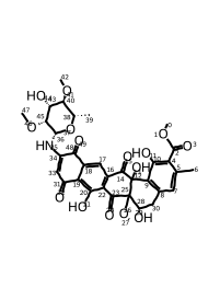 COC(=O)c1c(C)cc2c(c1O)C1(O)C(=O)c3cc4c(c(O)c3C(=O)C1(OC)[C@@H](O)C2)C(=O)C=C(N[C@H]1O[C@@H](C)[C@H](OC)[C@@H](O)[C@H]1OC)C4=O